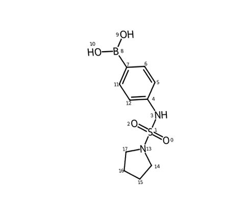 O=S(=O)(Nc1ccc(B(O)O)cc1)N1CCCC1